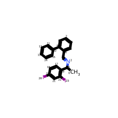 CC(/N=C/c1ccccc1-c1ccccc1)c1ccc(I)cc1I